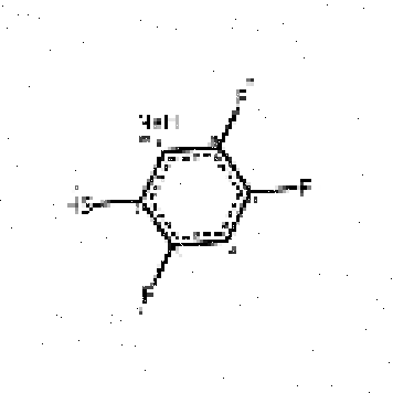 Fc1cc(F)c(S)cc1F.[NaH]